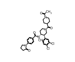 CC(=O)N1CCC(C(=O)N2CC[C@@H](N(C)C(=O)c3ccc(N4CCCC4=O)cc3)[C@H](c3ccc(Cl)c(Cl)c3)C2)CC1